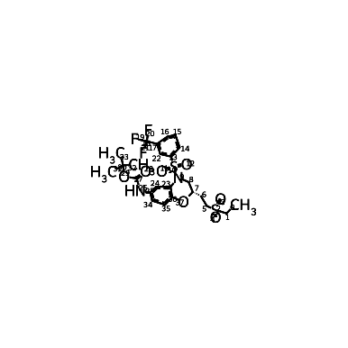 CCS(=O)(=O)CC[C@H]1CN(S(=O)(=O)c2cccc(C(F)(F)F)c2)c2cc(NC(=O)OC(C)(C)C)ccc2O1